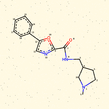 CN1CCC(CNC(=O)c2ncc(-c3ccccc3)o2)C1